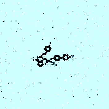 CN(Cc1ccc(-c2ccc(C(F)(F)F)cc2)cc1)C(=O)Cn1c(SCc2ccc(F)cc2)nc(=O)c2c1CCC2